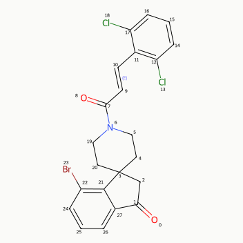 O=C1CC2(CCN(C(=O)/C=C/c3c(Cl)cccc3Cl)CC2)c2c(Br)cccc21